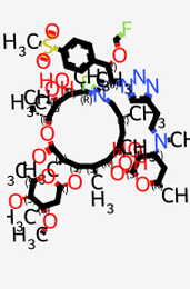 CC[C@H]1OC(=O)[C@H](C)[C@@H](O[C@H]2C[C@@](C)(OC)[C@@H](O)[C@H](C)O2)[C@H](C)[C@@H](O[C@@H]2O[C@H](C)C[C@H](N(C)CCc3cn([C@H](CF)[C@H](OCF)c4ccc(S(C)(=O)=O)cc4)nn3)[C@H]2O)[C@](C)(O)C[C@@H](C)CN(C)[C@H](C)[C@@H](O)[C@]1(C)O